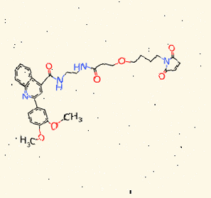 COc1ccc(-c2cc(C(=O)NCCNC(=O)CCOCCCCN3C(=O)C=CC3=O)c3ccccc3n2)cc1OC